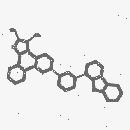 CC(C)(C)c1nc2c3ccccc3c3cc(-c4cccc(-c5cccc6c5sc5ccccc56)c4)ccc3n2c1C(C)(C)C